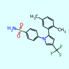 Cc1ccc(C)c(-c2cc(C(F)(F)F)cn2-c2ccc(S(N)(=O)=O)cc2)c1